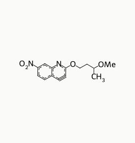 COC(C)CCOc1c#cc2ccc([N+](=O)[O-])cc2n1